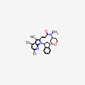 CCc1cc(CC)c2c(C#N)c(/C=C/C(=O)N(C)C3CCOCC3)n(C3CCc4ccccc43)c2n1